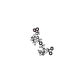 CN[C@@H](C)C(=O)N[C@H](C(=O)N1C[C@@H](NC(=O)c2ccc(C(=O)N[C@H]3C[C@@H](c4nc(-c5ccccc5)c(-c5ccccc5)s4)N(C(=O)[C@@H](NC(=O)[C@H](C)NC)C(C)(C)C)C3)cc2)C[C@H]1C1=NC(C)(c2ccccc2)C(c2ccccc2)S1)C(C)(C)C